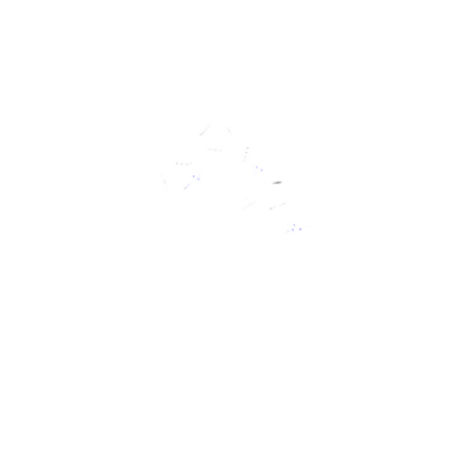 C=C(OC(C)=N)/C1=C(\CC)CCC2C(C(=C)N(C)C1=C)c1cc(C)ccc1-c1cc(C)c(C)c[n+]12